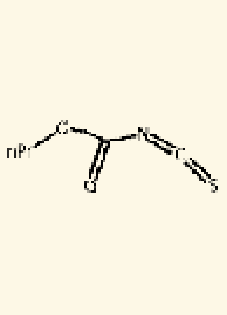 CCCOC(=O)N=C=S